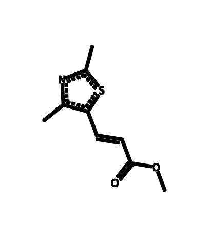 COC(=O)C=Cc1sc(C)nc1C